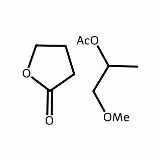 COCC(C)OC(C)=O.O=C1CCCO1